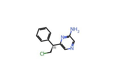 Nc1cncc([C@@H](CCl)c2ccccc2)n1